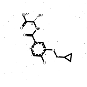 CNC(=O)[C@@H](NC(=O)c1cc(OCC2CC2)c(Cl)cn1)C(C)(C)C